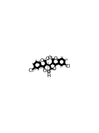 O=c1oc2ccc(Cl)cc2c(O)c1C1c2c(c3cc(Cl)ccc3oc2=O)OC1O